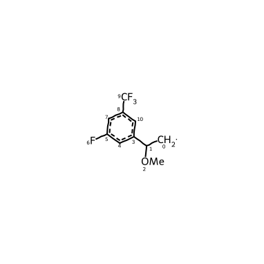 [CH2]C(OC)c1cc(F)cc(C(F)(F)F)c1